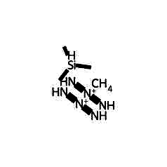 C.C[SiH](C)C.N=[N+]=N.N=[N+]=N